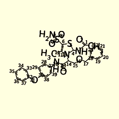 CC(=O)NC1SC(S(N)(=O)=O)=C(C)N1C(COCc1ccccc1)C(=O)Nc1ccc(Oc2ccccc2)cc1